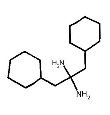 NC(N)(CC1CCCCC1)CC1CCCCC1